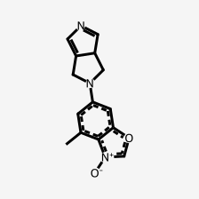 Cc1cc(N2CC3=CN=CC3C2)cc2oc[n+]([O-])c12